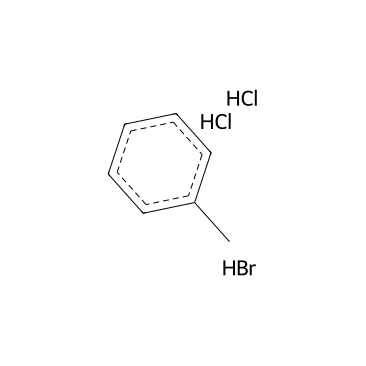 Br.Cc1ccccc1.Cl.Cl